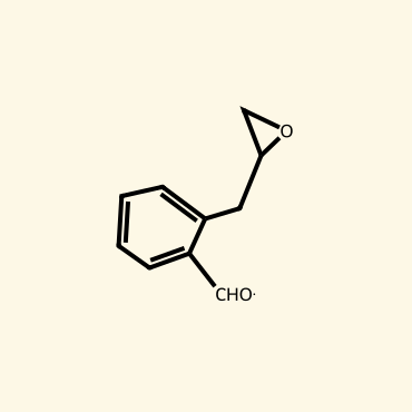 O=[C]c1ccccc1CC1CO1